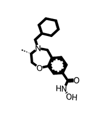 C[C@H]1COc2cc(C(=O)NO)ccc2CN1CC1CCCCC1